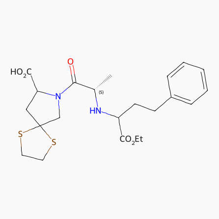 CCOC(=O)C(CCc1ccccc1)N[C@@H](C)C(=O)N1CC2(CC1C(=O)O)SCCS2